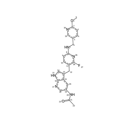 COc1ccc(CNc2ccc(Cc3c[nH]c4ncc(NC(C)=O)cc34)c(F)n2)cn1